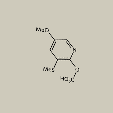 COc1cnc(OC(=O)O)c(SC)c1